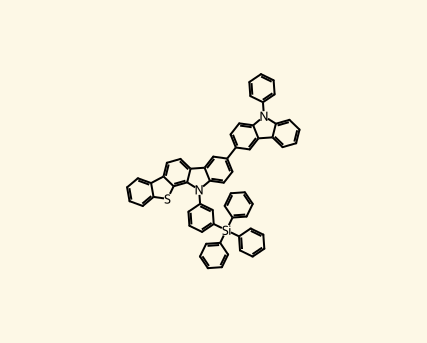 c1ccc(-n2c3ccccc3c3cc(-c4ccc5c(c4)c4ccc6c7ccccc7sc6c4n5-c4cccc([Si](c5ccccc5)(c5ccccc5)c5ccccc5)c4)ccc32)cc1